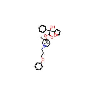 O=C(O[C@H]1C[N+]2(CCCOc3ccccc3)CCC1CC2)C(O)(c1ccccc1)c1ccco1